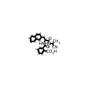 CC(C#N)NC(=O)C(Cc1ccc2ccccc2c1)NC(=O)c1ccccc1C(=O)O